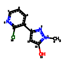 Cn1nc(-c2cccnc2Cl)cc1O